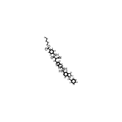 CCCCCOC(=O)c1ccc(NC(=O)/C(C#N)=C/c2cc3sc(NNc4ccc5c(c4)CCN5Cc4ccccc4)nc3s2)cc1